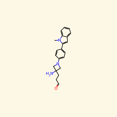 Cn1c(-c2ccc(N3CC(N)(CCC=O)C3)cc2)cc2ccccc21